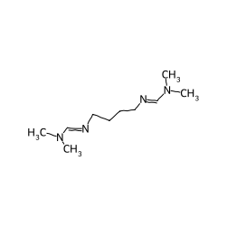 CN(C)/C=N/CCCC/N=C/N(C)C